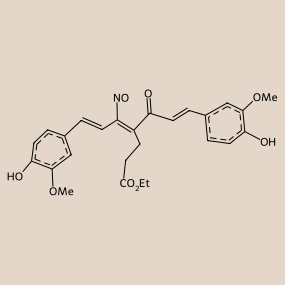 CCOC(=O)CC/C(C(=O)/C=C/c1ccc(O)c(OC)c1)=C(\C=C\c1ccc(O)c(OC)c1)N=O